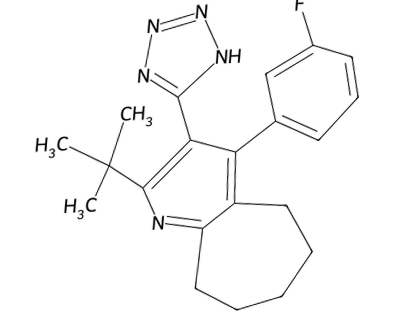 CC(C)(C)c1nc2c(c(-c3cccc(F)c3)c1-c1nnn[nH]1)CCCCC2